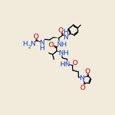 Cc1ccc(NC(=O)[C@H](CCCNC(N)=O)NC(=O)[C@@H](NCCNC(=O)CCCN2C(=O)C=CC2=O)C(C)C)cc1